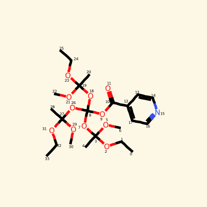 CCOC(C)(OC)OC(OC(=O)c1ccncc1)(OC(C)(OC)OCC)OC(C)(OC)OCC